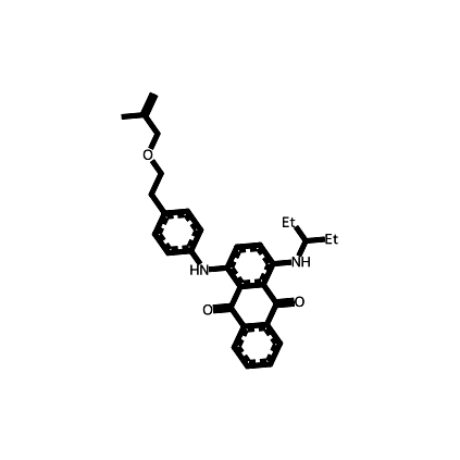 C=C(C)COCCc1ccc(Nc2ccc(NC(CC)CC)c3c2C(=O)c2ccccc2C3=O)cc1